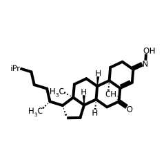 CC(C)CCC[C@@H](C)[C@H]1CC[C@H]2[C@@H]3CC(=O)C4=C/C(=N/O)CC[C@]4(C)[C@H]3CC[C@]12C